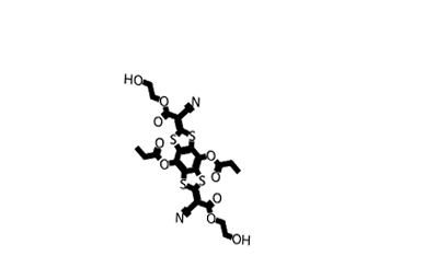 CCC(=O)Oc1c2c(c(OC(=O)CC)c3c1SC(=C(C#N)C(=O)OCCO)S3)SC(=C(C#N)C(=O)OCCO)S2